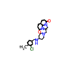 [CH2]c1ccc(CNC2CCN(C[C@@H]3Cn4c(=O)ccc5ccc(=O)n3c54)CC2)cc1Cl